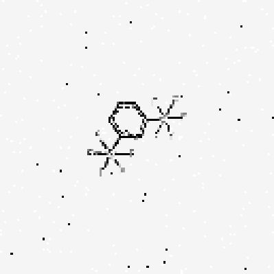 FS(F)(F)(F)(F)c1[c]ccc(S(F)(F)(F)(F)F)c1